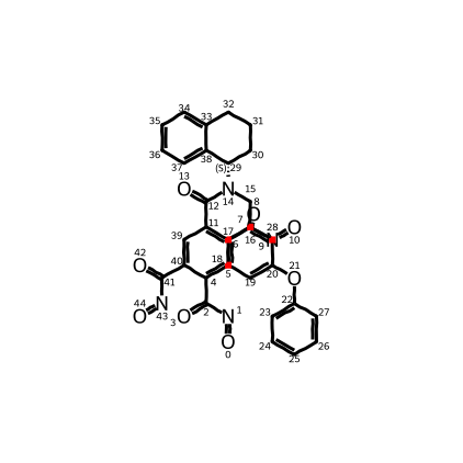 O=NC(=O)c1cc(C(=O)N=O)c(C(=O)N(Cc2cccc(Oc3ccccc3)c2)[C@H]2CCCc3ccccc32)cc1C(=O)N=O